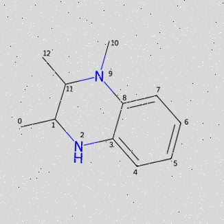 CC1Nc2ccccc2N(C)C1C